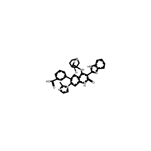 Cc1nccn1-c1cc2[nH]c(=O)c(-c3nc4ccccc4[nH]3)c(N[C@H]3CN4CCC3CC4)c2cc1-c1cccc(C(=O)O)c1